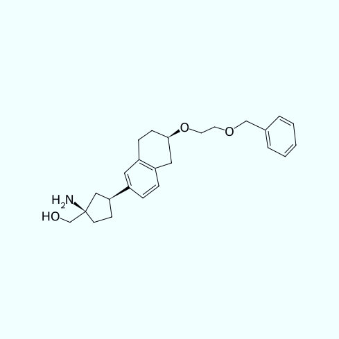 N[C@]1(CO)CC[C@H](c2ccc3c(c2)CC[C@@H](OCCOCc2ccccc2)C3)C1